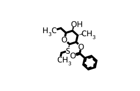 CCS[C@@H]1OC(CC)[C@@H](O)[C@H](C)C1OC(=O)c1ccccc1